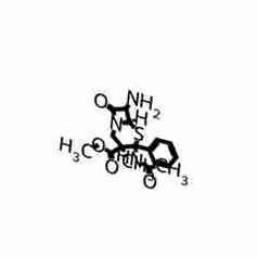 COC(=O)C1(C)CN2C(=O)C(N)[C@H]2SC1(NC(C)=O)c1ccccc1